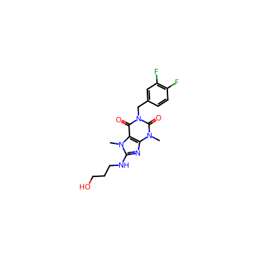 Cn1c(NCCCO)nc2c1c(=O)n(Cc1ccc(F)c(F)c1)c(=O)n2C